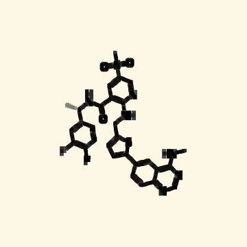 CNc1ncnc2ccc(-c3ccc(CNc4ncc(S(C)(=O)=O)cc4C(=O)N[C@@H](C)c4ccc(F)c(F)c4)s3)cc12